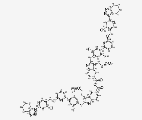 COCCn1c(Cc2cc(F)c(-c3cccc(OCc4cnc(-n5nnc6c5CCCC6)cc4Cl)n3)cc2F)nc2ccc(C(=O)OC(=O)c3ccc4nc(Cc5cc(F)c(-c6cccc(OCc7cnc(-n8nnc9c8CCCC9)cc7Cl)n6)cc5F)n(CCOC)c4c3)cc21